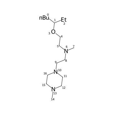 CCCCC(CC)OCCN(C)CCN1CCN(C)CC1